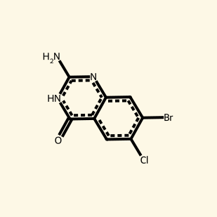 Nc1nc2cc(Br)c(Cl)cc2c(=O)[nH]1